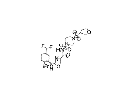 CC(C)c1ccc(C(F)F)cc1Nc1nc(C(=O)NS(=O)(=O)N2CCCN(S(=O)(=O)C3CCOC3)CC2)co1